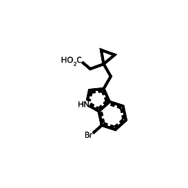 O=C(O)CC1(Cc2c[nH]c3c(Br)cccc23)CC1